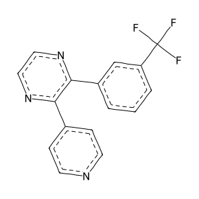 FC(F)(F)c1cccc(-c2nccnc2-c2ccncc2)c1